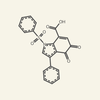 O=C(O)C1=CC(=O)C(=O)c2c(-c3ccccc3)cn(S(=O)(=O)c3ccccc3)c21